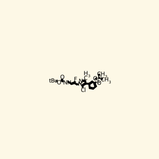 Cc1nn(C/C(F)=C/CNC(=O)OC(C)(C)C)c(Cl)c1-c1cccc(S(=O)(=O)N(C)C)c1